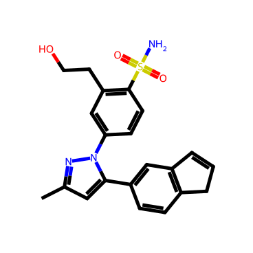 Cc1cc(-c2ccc3c(c2)C=CC3)n(-c2ccc(S(N)(=O)=O)c(CCO)c2)n1